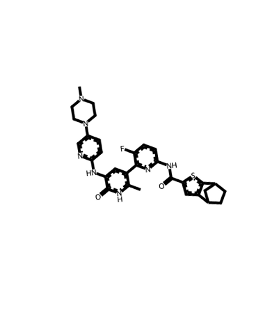 Cc1[nH]c(=O)c(Nc2ccc(N3CCN(C)CC3)cn2)cc1-c1nc(NC(=O)c2cc3c(s2)C2CCC3C2)ccc1F